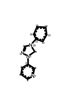 C1=NN(c2cccnc2)CN1c1ccccc1